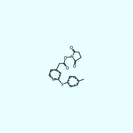 Cc1ccc(Sc2cc(CC(=O)ON3C(=O)CCC3=O)ccn2)cc1